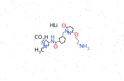 Cn1cc(NC(=O)c2cccc(Cn3nc(OCCCN)ccc3=O)c2)c(C(=O)O)n1.[LiH]